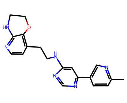 Cc1ccc(-c2cc(NCCc3ccnc4c3OCCN4)ncn2)cn1